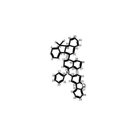 CC1(C)c2ccccc2-c2c(-c3ccc(N(c4ccccc4)c4ccc5oc6ccccc6c5c4)c4ccccc34)cc3ccccc3c21